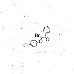 O=C(c1ccccc1)C(Br)Oc1ccc(Cl)cc1